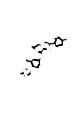 Cc1ncn(-c2ccc(NC3=NC(Br)=CN4CC(c5ccc(F)cc5C)N=C34)cc2CO)n1